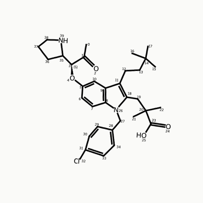 CC(=O)[C@@H](Oc1ccc2c(c1)c(CCC(C)(C)C)c(CC(C)(C)C(=O)O)n2Cc1ccc(Cl)cc1)C1CCCN1